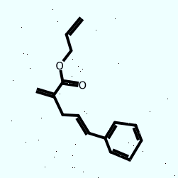 C=CCOC(=O)C(=C)CC=Cc1ccccc1